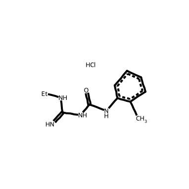 CCNC(=N)NC(=O)Nc1ccccc1C.Cl